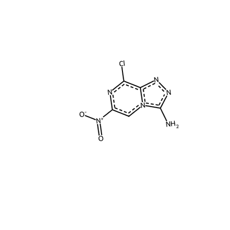 Nc1nnc2c(Cl)nc([N+](=O)[O-])cn12